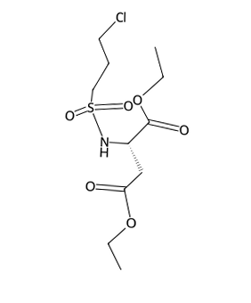 CCOC(=O)C[C@H](NS(=O)(=O)CCCCl)C(=O)OCC